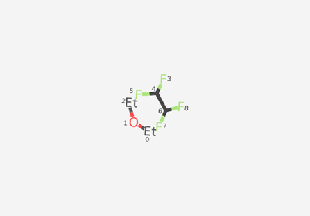 CCOCC.FC(F)C(F)F